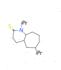 CC(C)C1CCCC2C(CCC(=S)N2C(C)C)C1